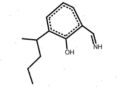 CCCC(C)c1cccc(C=N)c1O